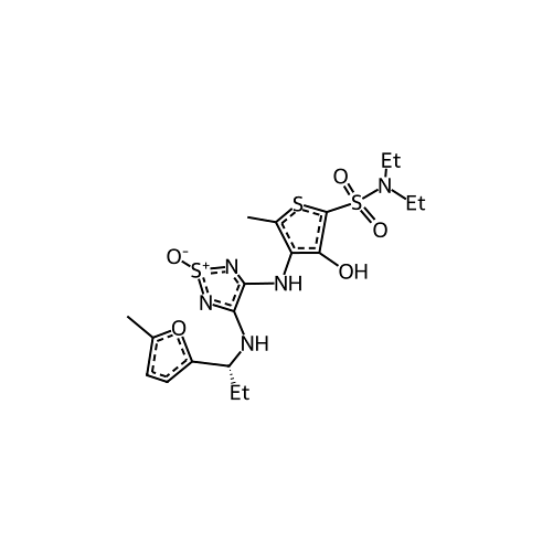 CC[C@@H](Nc1n[s+]([O-])nc1Nc1c(C)sc(S(=O)(=O)N(CC)CC)c1O)c1ccc(C)o1